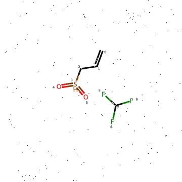 C=CC[SH](=O)=O.FC(F)F